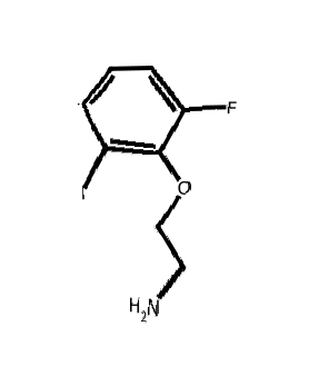 NCCOc1c(I)[c]ccc1F